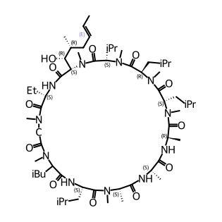 C/C=C/C[C@@H](C)[C@@H](O)[C@H]1C(=O)N[C@@H](CC)C(=O)N(C)CC(=O)N(C)C(C(C)CC)C(=O)N[C@@H](CC(C)C)C(=O)N(C)[C@@H](C)C(=O)N[C@@H](C)C(=O)N[C@H](C)C(=O)N(C)[C@@H](CC(C)C)C(=O)N(C)[C@H](CC(C)C)C(=O)N(C)[C@@H](C(C)C)C(=O)N1C